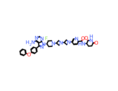 Nc1ncnc2c1c(-c1ccc(Oc3ccccc3)cc1)nn2[C@@H]1CCN(C2CN(C3CN(c4ccc(C(=O)NC5CCC(=O)NC5=O)nc4)C3)C2)C[C@@H]1F